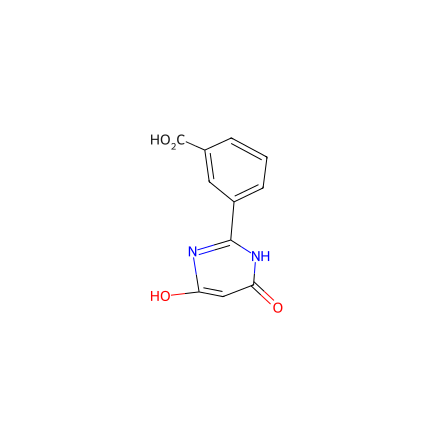 O=C(O)c1cccc(-c2nc(O)cc(=O)[nH]2)c1